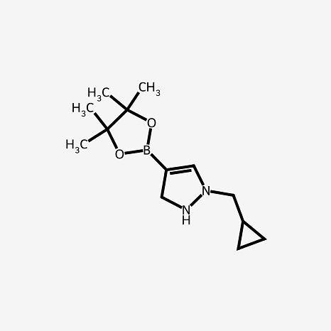 CC1(C)OB(C2=CN(CC3CC3)NC2)OC1(C)C